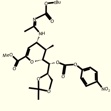 COC(=O)C1=C[C@H](N/C(C)=N\C(=O)OC(C)(C)C)[C@@H](C)[C@H]([C@H](OC(=O)Oc2ccc([N+](=O)[O-])cc2)[C@H]2COC(C)(C)O2)O1